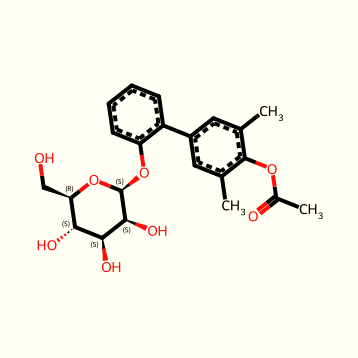 CC(=O)Oc1c(C)cc(-c2ccccc2O[C@@H]2O[C@H](CO)[C@@H](O)[C@H](O)[C@@H]2O)cc1C